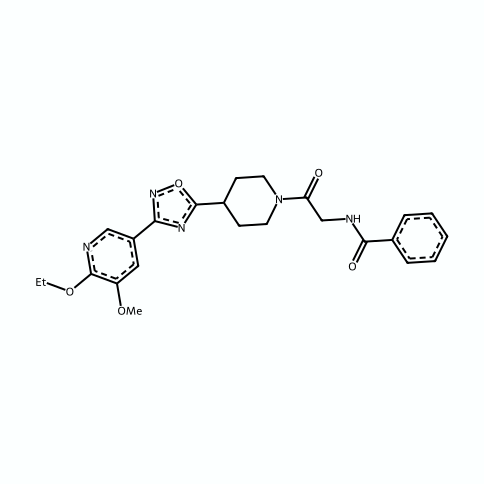 CCOc1ncc(-c2noc(C3CCN(C(=O)CNC(=O)c4ccccc4)CC3)n2)cc1OC